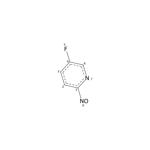 O=Nc1ccc(F)cn1